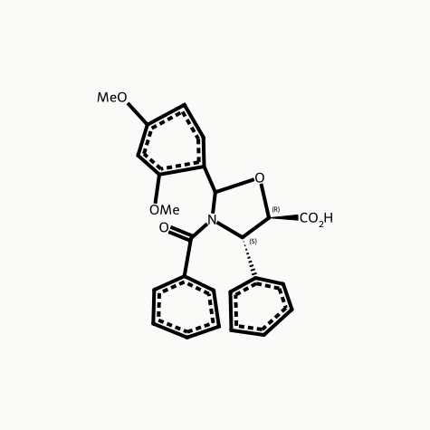 COc1ccc(C2O[C@@H](C(=O)O)[C@H](c3ccccc3)N2C(=O)c2ccccc2)c(OC)c1